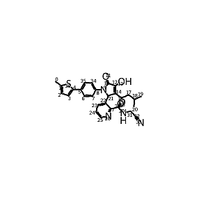 Cc1ccc(-c2ccc(N3C(=O)C(O)=C(C(=O)CC(C)C)C3c3cccnc3C(=O)NCC#N)cc2)s1